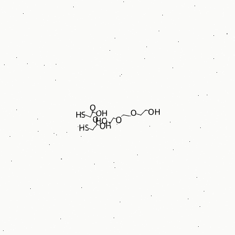 O=C(O)CS.O=C(O)CS.OCCOCCOCCO